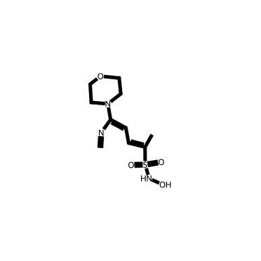 C=N/C(=C\C=C(/C)S(=O)(=O)NO)N1CCOCC1